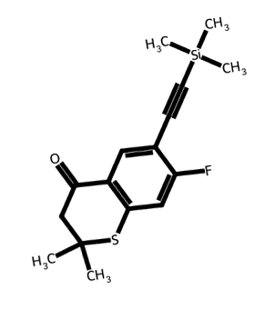 CC1(C)CC(=O)c2cc(C#C[Si](C)(C)C)c(F)cc2S1